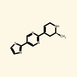 C[C@H]1CC(c2ncc(-c3nccs3)cn2)=CCN1